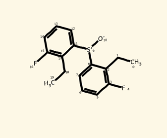 CCc1c(F)cccc1[S+]([O-])c1cccc(F)c1CC